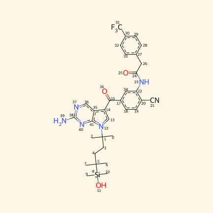 CC(C)(CCC(C)(C)[Si](C)(C)O)n1cc(C(=O)c2ccc(C#N)c(NC(=O)Cc3ccc(C(F)(F)F)cc3)c2)c2cnc(N)nc21